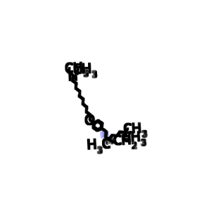 C=C[C@@](C)(/C=C/c1ccc(OCCCCCCCCCCN(CC)CC)cc1)CCC=C(C)C